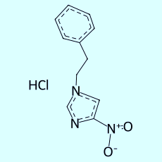 Cl.O=[N+]([O-])c1cn(CCc2ccccc2)cn1